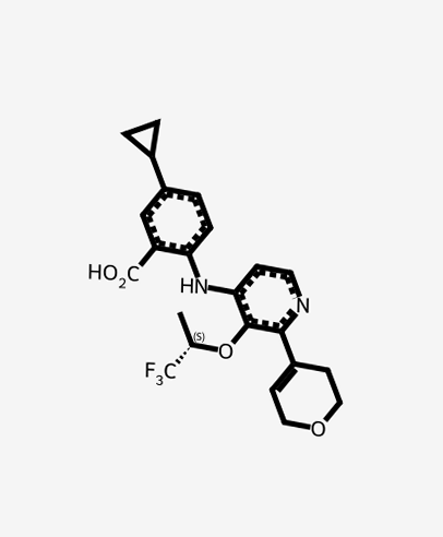 C[C@H](Oc1c(Nc2ccc(C3CC3)cc2C(=O)O)ccnc1C1=CCOCC1)C(F)(F)F